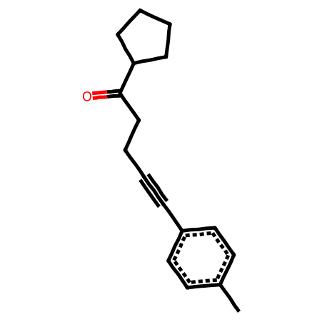 Cc1ccc(C#CCCC(=O)C2CCCC2)cc1